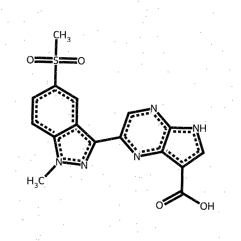 Cn1nc(-c2cnc3[nH]cc(C(=O)O)c3n2)c2cc(S(C)(=O)=O)ccc21